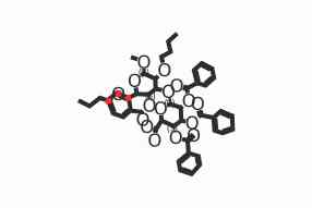 CCCCOCC1O[C@@H](OC)C(OCCCC)C(O[C@@H]2OC(C(=O)OC)[C@@H](OC(=O)c3ccccc3)C(OC(=O)c3ccccc3)C2OC(=O)c2ccccc2)[C@H]1OC(=O)c1ccccc1